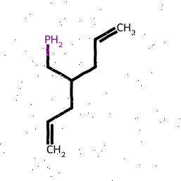 C=CCC(CP)CC=C